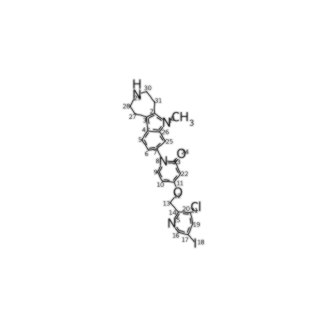 Cn1c2c(c3ccc(-n4ccc(OCc5ncc(I)cc5Cl)cc4=O)cc31)CCNCC2